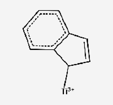 [Ti+3][CH]1C=Cc2ccccc21